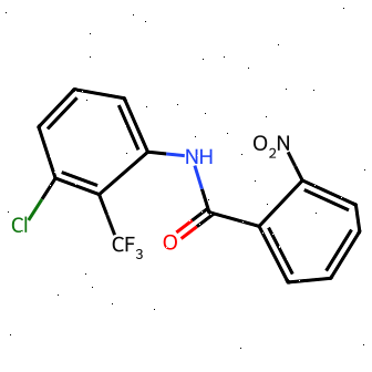 O=C(Nc1cccc(Cl)c1C(F)(F)F)c1ccccc1[N+](=O)[O-]